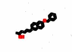 CC(O)CCC=Cc1ccc2cc(OCc3ccccc3)ccc2c1